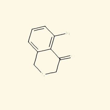 O=C1CNCc2cccc(Br)c21